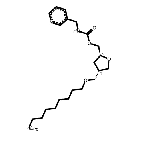 CCCCCCCCCCCCCCCCCCOC[C@H]1CO[C@H](COC(=O)NCc2cccnc2)C1